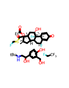 CC(C)(C)NCC(O)c1ccc(O)c(CO)c1.CCC(=O)O[C@]1(C(=O)SCF)[C@H](C)C[C@H]2C3C[C@H](F)C4=CC(=O)C=C[C@]4(C)[C@@]3(F)[C@@H](O)C[C@@]21C.FCC(F)(F)F